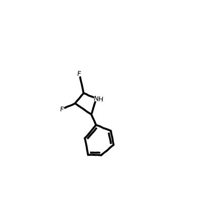 FC1NC(c2ccccc2)C1F